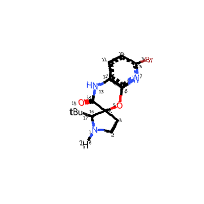 [2H]N1CCC2(Oc3nc(Br)ccc3NC2=O)C1C(C)(C)C